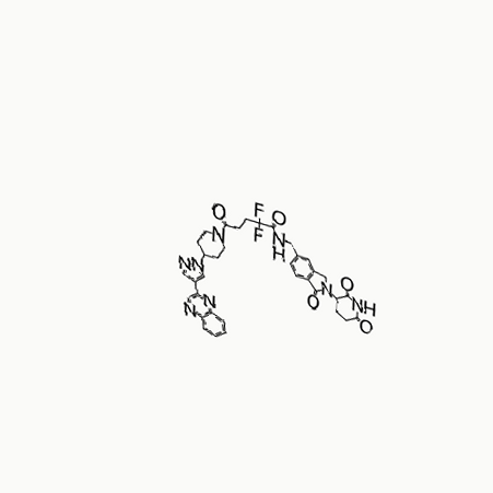 O=C1CCC(N2Cc3cc(CNC(=O)C(F)(F)CCC(=O)N4CCC(n5cc(-c6cnc7ccccc7n6)cn5)CC4)ccc3C2=O)C(=O)N1